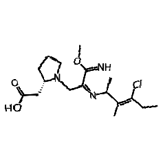 CC/C(Cl)=C(\C)[C@H](C)/N=C(/CN1CCC[C@H]1CC(=O)O)C(=N)OC